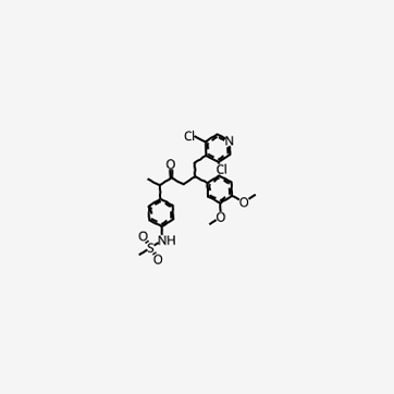 COc1ccc(C(CC(=O)C(C)c2ccc(NS(C)(=O)=O)cc2)Cc2c(Cl)cncc2Cl)cc1OC